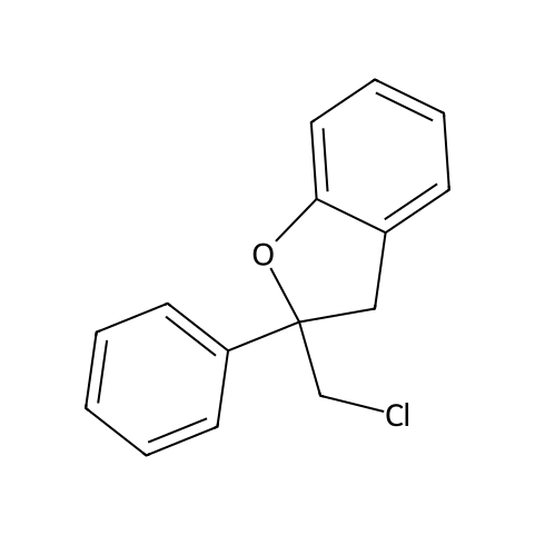 ClCC1(c2ccccc2)Cc2ccccc2O1